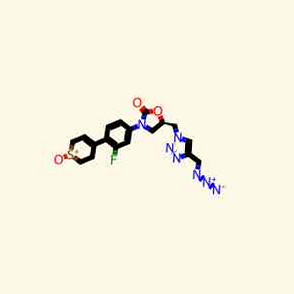 [N-]=[N+]=NCc1cn(C[C@H]2CN(c3ccc(C4=CC[S+]([O-])CC4)c(F)c3)C(=O)O2)nn1